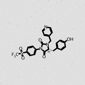 O=C1[C@@H](Cc2ccc(O)cc2)N(Cc2ccncc2)C(=O)N1c1ccc(S(=O)(=O)C(F)(F)F)cc1